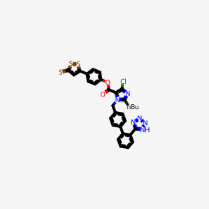 CCCCc1nc(Cl)c(C(=O)Oc2ccc(-c3cc(=S)ss3)cc2)n1Cc1ccc(-c2ccccc2-c2nnn[nH]2)cc1